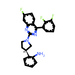 Nc1ccccc1[C@H]1CCN(c2nc(-c3cccc(F)c3F)c3ccc(F)cc3n2)C1